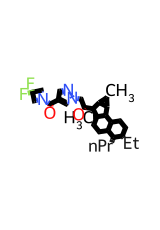 CCCC1C(CC)CCC2C1CCC1(C)C(C(=O)Cn3cc(C(=O)N4CC(F)(F)C4)cn3)C3C(C)C3C21